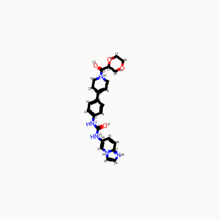 O=C(Nc1ccc(C2=CCN(C(=O)C3COCCO3)CC2)cc1)Nc1ccc2nccn2c1